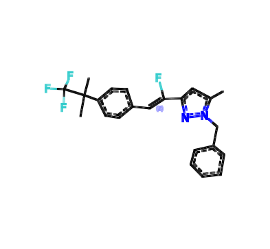 Cc1cc(/C(F)=C/c2ccc(C(C)(C)C(F)(F)F)cc2)nn1Cc1ccccc1